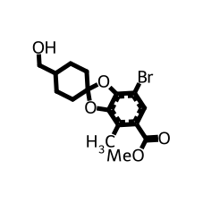 COC(=O)c1cc(Br)c2c(c1C)OC1(CCC(CO)CC1)O2